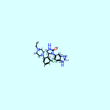 CCN1CCN(c2cccc(Cl)c2C2CNC(=O)N2c2ccc3[nH]cnc3c2)CC1